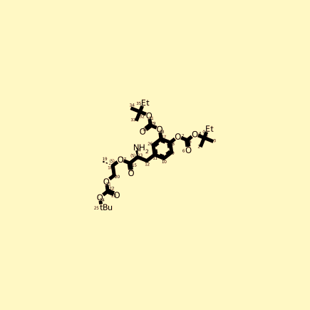 CCC(C)(C)OC(=O)Oc1ccc(C[C@H](N)C(=O)O[C@@H](C)COC(=O)OC(C)(C)C)cc1OC(=O)OC(C)(C)CC